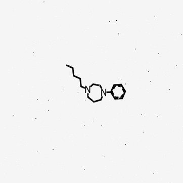 CCCCCN1CCCN(c2ccccc2)CC1